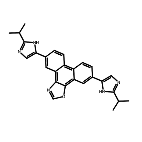 CC(C)c1ncc(-c2ccc3c4ccc(-c5cnc(C(C)C)[nH]5)cc4c4ocnc4c3c2)[nH]1